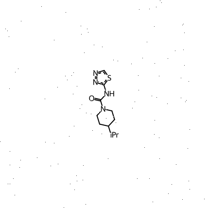 CC(C)C1CCN(C(=O)Nc2nncs2)CC1